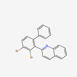 Brc1ccc(-c2ccccc2)c(-c2ccc3ccccc3n2)c1Br